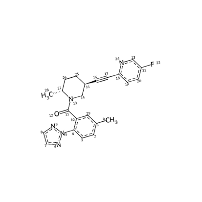 Cc1ccc(-n2nccn2)c(C(=O)N2C[C@H](C#Cc3ccc(F)cn3)CC[C@H]2C)c1